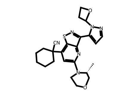 C[C@@H]1COCCN1c1cc(C2(C#N)CCCCC2)c2snc(-c3ccnn3C3CCO3)c2n1